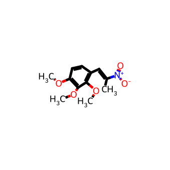 COc1ccc(/C=C(\C)[N+](=O)[O-])c(OC)c1OC